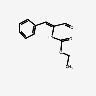 CCOC(=O)NC([C]=O)=Cc1ccccc1